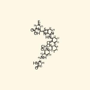 COc1nc(-c2cccc(-c3cccc(Nc4nccc5sc(CN6C[C@@H](F)C[C@H]6C(=O)O)nc45)c3Cl)c2Cl)ccc1CNC[C@@H]1CCC(=O)N1